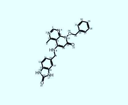 Cc1ncnc2c1c(NCc1ccc3[nH]c(=O)[nH]c3c1)cc(=O)n2OCc1ccccc1